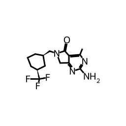 Cc1nc(N)nc2c1C(=O)N(C[C@@H]1CCC[C@H](C(F)(F)F)C1)C2